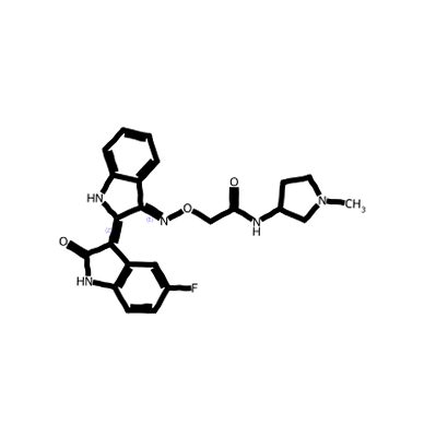 CN1CCC(NC(=O)CO/N=C2/C(=C3/C(=O)Nc4ccc(F)cc43)Nc3ccccc32)C1